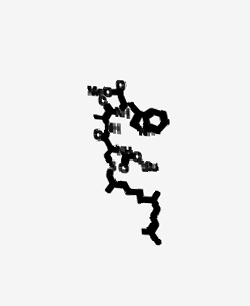 COC(=O)[C@H](Cc1c[nH]c2ccccc12)NC(=O)[C@H](C)NC(=O)[C@H](CSCC(C)=CCC/C=C(\C)CCC=C(C)C)NC(=O)OC(C)(C)C